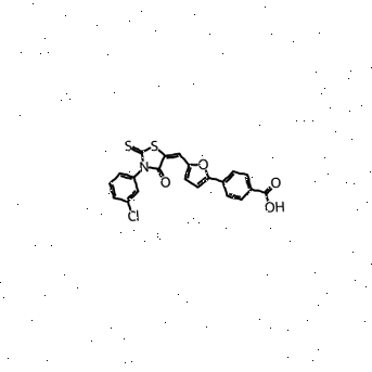 O=C(O)c1ccc(-c2ccc(/C=C3/SC(=S)N(c4cccc(Cl)c4)C3=O)o2)cc1